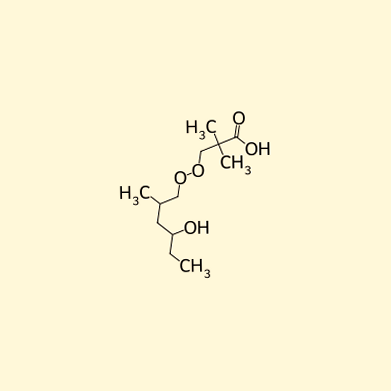 CCC(O)CC(C)COOCC(C)(C)C(=O)O